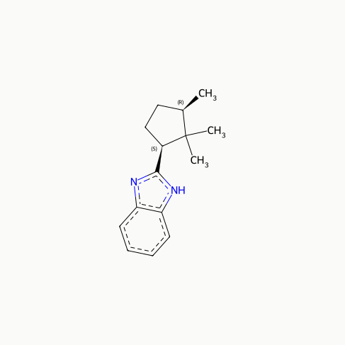 C[C@@H]1CC[C@H](c2nc3ccccc3[nH]2)C1(C)C